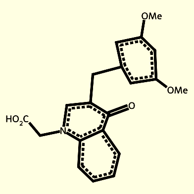 COc1cc(Cc2cn(CC(=O)O)c3ccccc3c2=O)cc(OC)c1